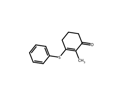 CC1=C(Sc2ccccc2)CCCC1=O